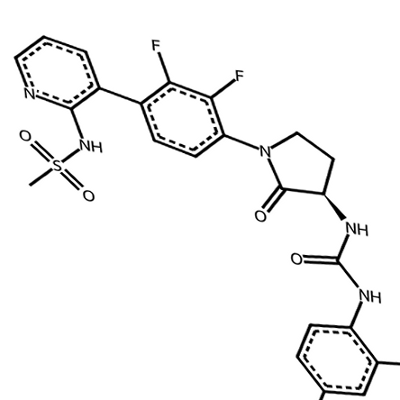 CS(=O)(=O)Nc1ncccc1-c1ccc(N2CC[C@@H](NC(=O)Nc3ccc(Cl)cc3F)C2=O)c(F)c1F